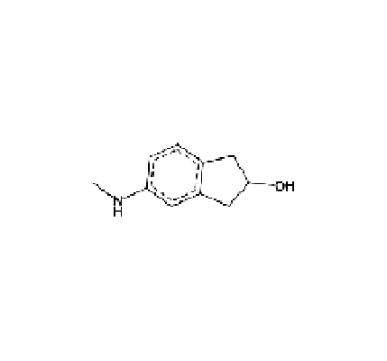 CNc1ccc2c(c1)CC(O)C2